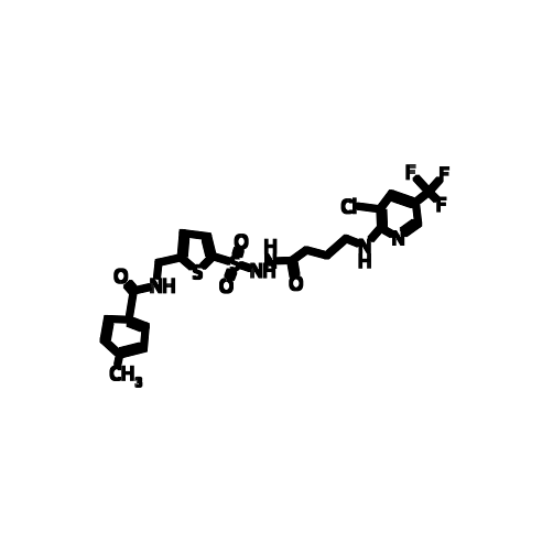 Cc1ccc(C(=O)NCc2ccc(S(=O)(=O)NNC(=O)CCCNc3ncc(C(F)(F)F)cc3Cl)s2)cc1